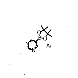 CC1(C)OB(c2cncnc2)OC1(C)C.[Ar]